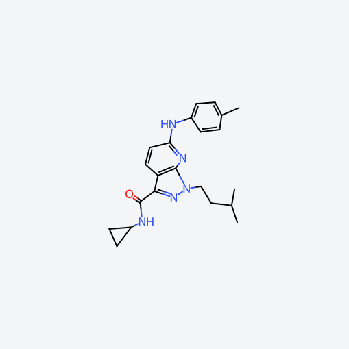 Cc1ccc(Nc2ccc3c(C(=O)NC4CC4)nn(CCC(C)C)c3n2)cc1